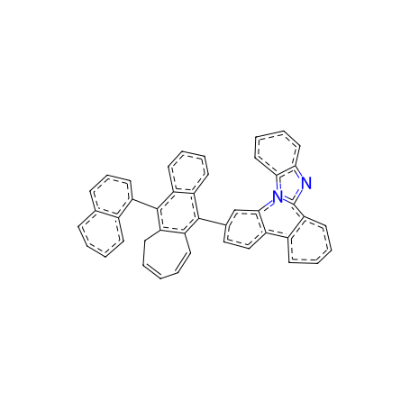 C1=CCc2c(c(-c3ccc4c5ccccc5c5nc6ccccc6n5c4c3)c3ccccc3c2-c2cccc3ccccc23)C=C1